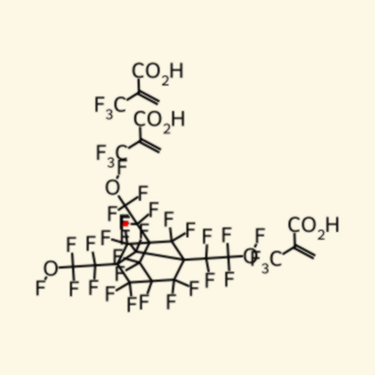 C=C(C(=O)O)C(F)(F)F.C=C(C(=O)O)C(F)(F)F.C=C(C(=O)O)C(F)(F)F.FOC(F)(F)C(F)(F)C12C(F)(F)C3(F)C(F)(F)C(C(F)(F)C(F)(F)OF)(C1(F)F)C(F)(F)C(C(F)(F)C(F)(F)OF)(C3(F)F)C2(F)F